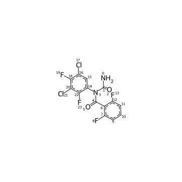 NC(=O)N(C(=O)c1c(F)cccc1F)c1cc(Cl)c(F)c(Cl)c1F